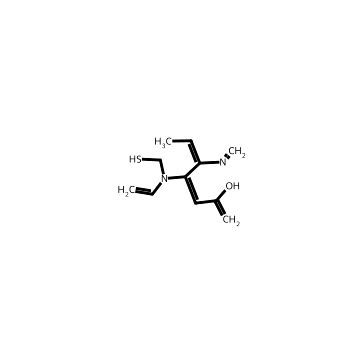 C=CN(CS)C(=C/C(=C)O)/C(=C\C)N=C